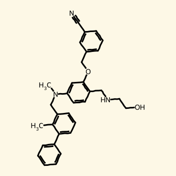 Cc1c(CN(C)c2ccc(CNCCO)c(OCc3cccc(C#N)c3)c2)cccc1-c1ccccc1